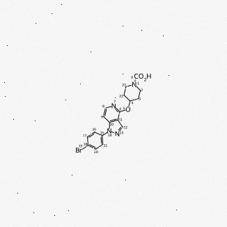 O=C(O)N1CCC(Oc2nccc3c2cnn3-c2ccc(Br)cc2)CC1